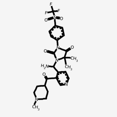 CN1CCC(C(=O)c2cnccc2C(N)N2C(=O)N(c3ccc(S(=O)(=O)C(F)(F)F)cc3)C(=O)C2(C)C)CC1